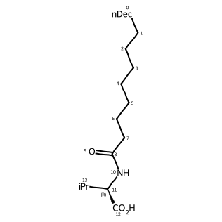 CCCCCCCCCCCCCCCCCC(=O)N[C@@H](C(=O)O)C(C)C